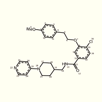 COc1ccc(CCOc2cc(C(=O)NCC3CCN(c4ccncc4)CC3)ccc2Cl)cc1